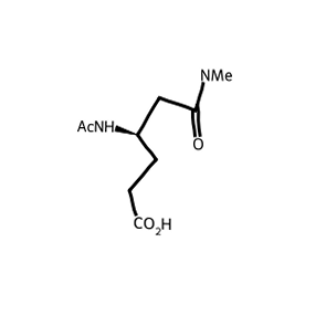 CNC(=O)C[C@@H](CCC(=O)O)NC(C)=O